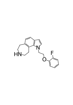 Fc1ccccc1OCCn1ccc2ccc3c(c21)CCNCC3